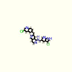 Clc1cnc2ccc(Cc3cc4c(NCc5cnc6[nH]cc(Cl)c6c5)nccc4cn3)cc2c1